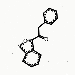 O=C(Cc1ccccc1)c1onc2ccccc12